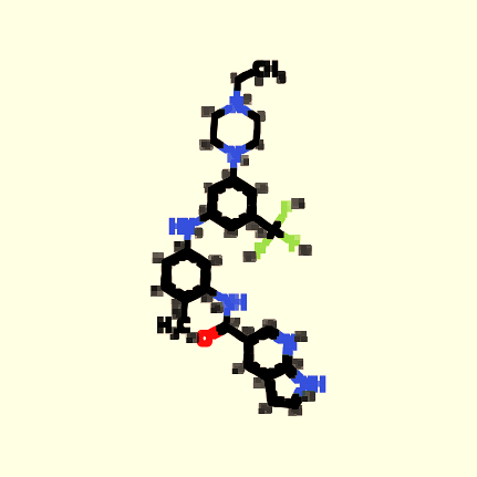 CCN1CCN(c2cc(Nc3ccc(C)c(NC(=O)c4cnc5[nH]ccc5c4)c3)cc(C(F)(F)F)c2)CC1